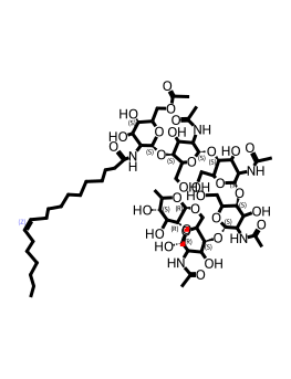 CCCCCC/C=C\CCCCCCCCCC(=O)NC1C(O)[C@H](O)C(COC(C)=O)O[C@H]1O[C@@H]1C(CO)O[C@@H](O[C@@H]2C(CO)O[C@@H](O[C@@H]3C(CO)O[C@@H](O[C@@H]4C(CO[C@@H]5OC(C)[C@@H](O)C(O)[C@H]5OC)O[C@@H](O)C(NC(C)=O)C4O)C(NC(C)=O)C3O)C(NC(C)=O)C2O)C(NC(C)=O)C1O